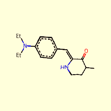 CCN(CC)c1ccc(C=C2NCCC(C)C2=O)cc1